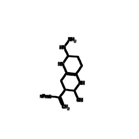 C=C(CCCCC)C1CC2=C(CCC(NN)N2)NC1O